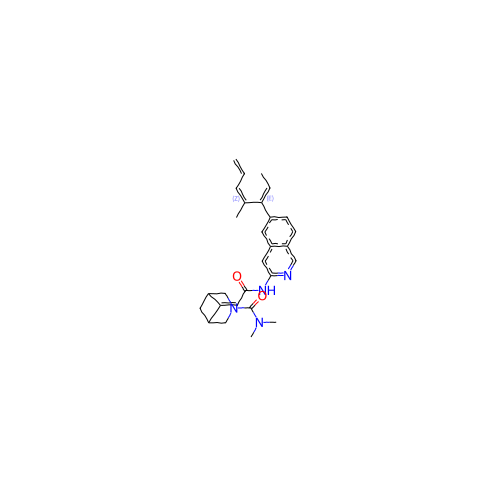 C=C/C=C(C)\C(=C/C)c1ccc2cnc(NC(=O)C=C3C4CC3CN(C(=O)N(C)C)C4)cc2c1